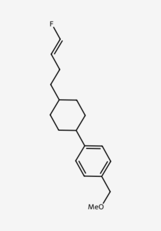 COCc1ccc(C2CCC(CC/C=C/F)CC2)cc1